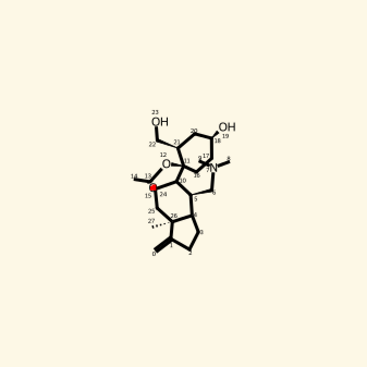 C=C1CCC2[C@H](CN(C)C)C([C@@]3(OC(C)=O)CC[C@H](O)C[C@@H]3CO)CC[C@]12C